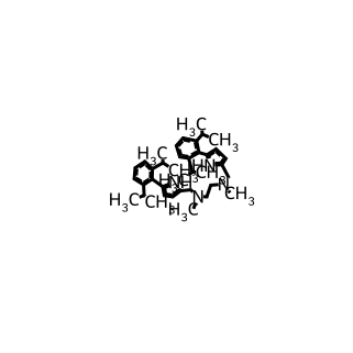 CC(C)c1cccc(C(C)C)c1-c1ccc(CN(C)CCN(C)Cc2ccc(-c3c(C(C)C)cccc3C(C)C)[nH]2)[nH]1